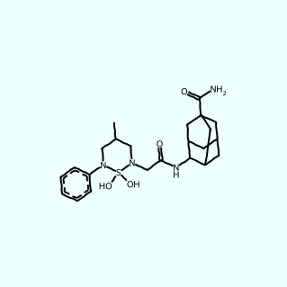 CC1CN(CC(=O)NC2C3CC4CC2CC(C(N)=O)(C4)C3)S(O)(O)N(c2ccccc2)C1